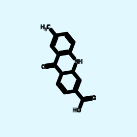 Cc1ccc2c(c1)C(=O)C1C=CC(C(=O)O)=CC1N2